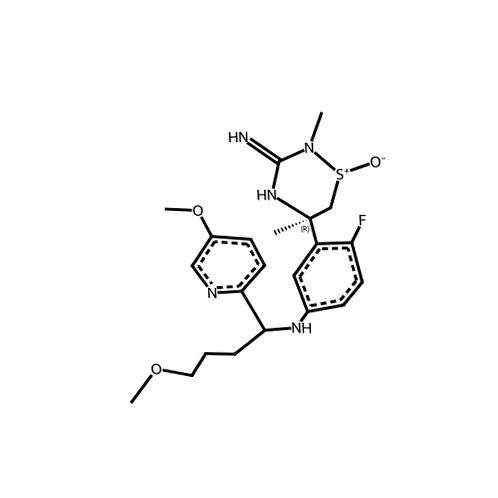 COCCCC(Nc1ccc(F)c([C@]2(C)C[S+]([O-])N(C)C(=N)N2)c1)c1ccc(OC)cn1